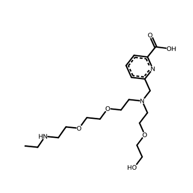 CCNCCOCCOCCN(CCOCCO)Cc1cccc(C(=O)O)n1